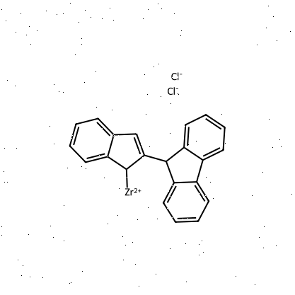 [Cl-].[Cl-].[Zr+2][CH]1C(C2c3ccccc3-c3ccccc32)=Cc2ccccc21